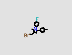 Cc1ccc(-c2cc(CCBr)c(C)n2-c2ccc(F)cc2)cc1